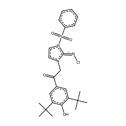 CC(C)(C)c1cc(C(=O)Cn2ccn(S(=O)(=O)c3ccccc3)/c2=N/Cl)cc(C(C)(C)C)c1O